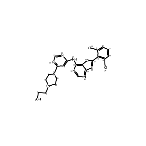 OCCN1CCN(c2cc(Nc3ncnc4nc(-c5c(Cl)cccc5Cl)sc34)ncn2)CC1